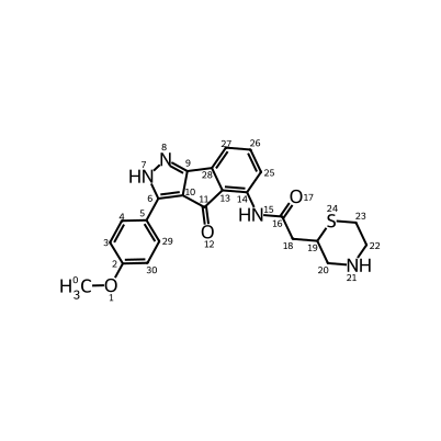 COc1ccc(-c2[nH]nc3c2C(=O)c2c(NC(=O)CC4CNCCS4)cccc2-3)cc1